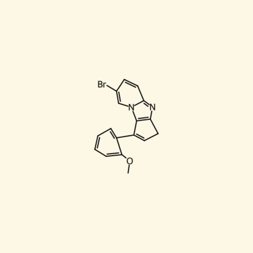 COc1ccccc1C1=CCc2nc3ccc(Br)cn3c21